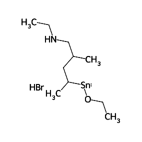 Br.CCNCC(C)C[CH](C)[Sn][O]CC